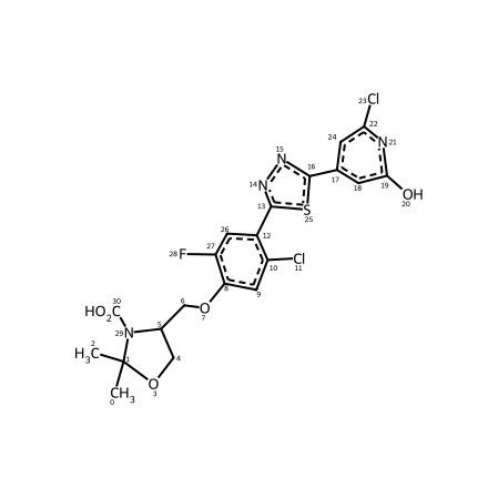 CC1(C)OCC(COc2cc(Cl)c(-c3nnc(-c4cc(O)nc(Cl)c4)s3)cc2F)N1C(=O)O